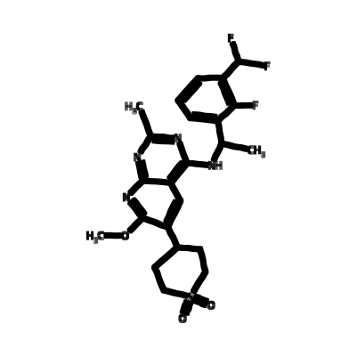 COc1nc2nc(C)nc(NC(C)c3cccc(C(F)F)c3F)c2cc1C1CCS(=O)(=O)CC1